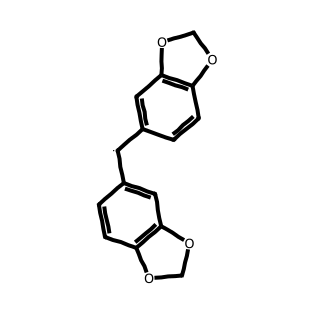 [CH](c1ccc2c(c1)OCO2)c1ccc2c(c1)OCO2